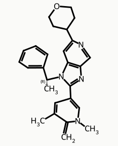 C=C1C(C)=CC(c2nc3cnc(C4CCOCC4)cc3n2[C@H](C)c2ccccc2)=CN1C